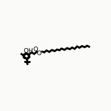 CCCCCCCCCCCCCCCCCCCCOC(=O)CCc1cc(C(C)(C)C)cc(C)c1O